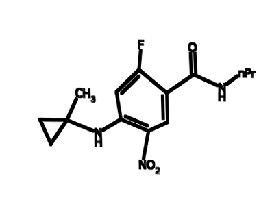 CCCNC(=O)c1cc([N+](=O)[O-])c(NC2(C)CC2)cc1F